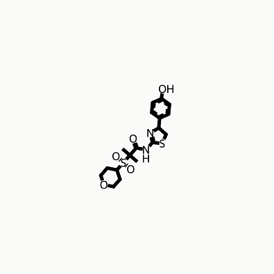 CC(C)(C(=O)NC1=NC(c2ccc(O)cc2)CS1)S(=O)(=O)C1CCOCC1